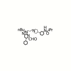 CCCCc1nc2cc(-c3ccccc3)c(C=O)nc2n1CCCN1CCC(c2cccc(NC(=O)C(C)C)c2)CC1